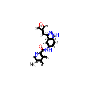 Cc1c(C#N)cnc(C(=O)Nc2ccc3[nH]nc(C=C4COC4)c3c2)c1C